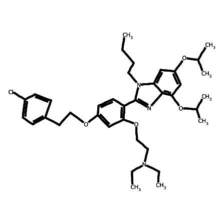 CCCCn1c(-c2ccc(OCCc3ccc(Cl)cc3)cc2OCCN(CC)CC)nc2c(OC(C)C)cc(OC(C)C)cc21